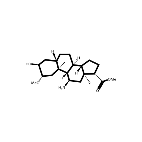 COC(=O)[C@H]1CC[C@H]2[C@@H]3CC[C@H]4C[C@H](O)[C@@H](OC)C[C@]4(C)[C@H]3[C@H](N)C[C@]12C